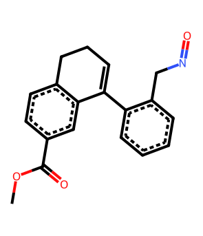 COC(=O)c1ccc2c(c1)C(c1ccccc1CN=O)=CCC2